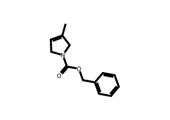 CC1=CCN(C(=O)OCc2ccccc2)C1